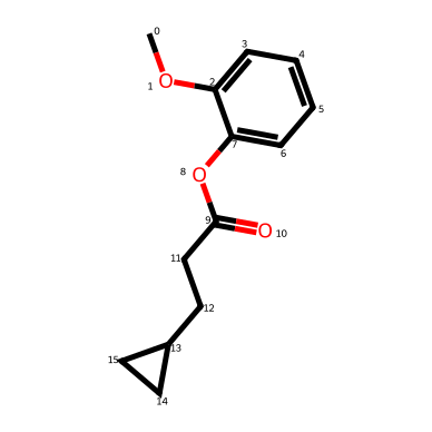 COc1ccccc1OC(=O)CCC1CC1